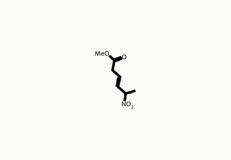 COC(=O)CC=CC(C)[N+](=O)[O-]